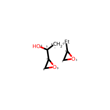 CCC1CO1.[CH2]C(O)C1CO1